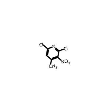 Cc1cc(Cl)nc(Cl)c1[N+](=O)[O-]